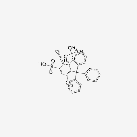 CC1=C(C(c2ccccc2)(c2ccccc2)c2ccccc2)C(OC(C)(C)C)C(=C=O)C(S(=O)(=O)O)=C1